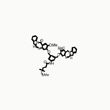 COc1cc2c(cc1OCc1cc(COc3cc4c(cc3OC)C(=O)N3c5ccccc5C[C@H]3C=N4)cc(NC(=O)CCC(C)(C)SSC)c1)N=C[C@@H]1Cc3ccccc3N1C2